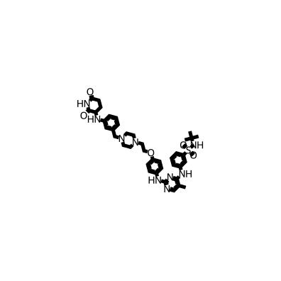 Cc1cnc(Nc2ccc(OCCN3CCN(Cc4cccc(NC5CCC(=O)NC5=O)c4)CC3)cc2)nc1Nc1cccc(S(=O)(=O)NC(C)(C)C)c1